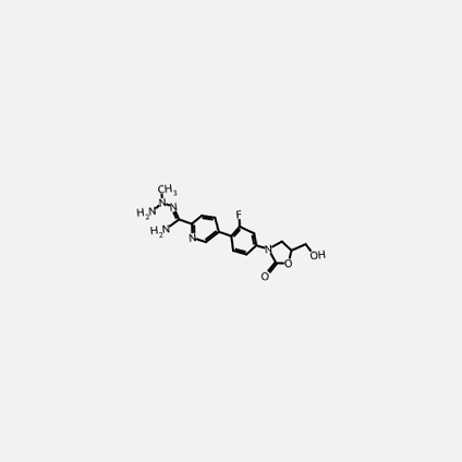 CN(N)/N=C(\N)c1ccc(-c2ccc(N3CC(CO)OC3=O)cc2F)cn1